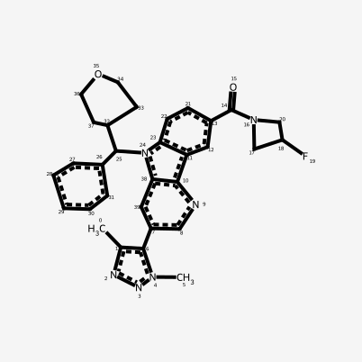 Cc1nnn(C)c1-c1cnc2c3cc(C(=O)N4CC(F)C4)ccc3n(C(c3ccccc3)C3CCOCC3)c2c1